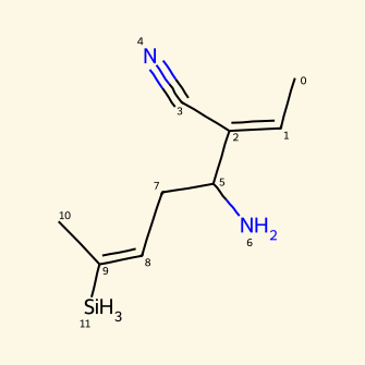 C/C=C(\C#N)C(N)C/C=C(\C)[SiH3]